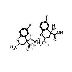 C[C@@H]1CC(N)(C(=O)O)c2cc(F)ccc2O1.C[C@@H]1CC(NC(N)=O)(C(=O)O)c2cc(F)ccc2O1